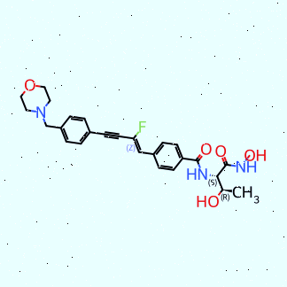 C[C@@H](O)[C@H](NC(=O)c1ccc(/C=C(\F)C#Cc2ccc(CN3CCOCC3)cc2)cc1)C(=O)NO